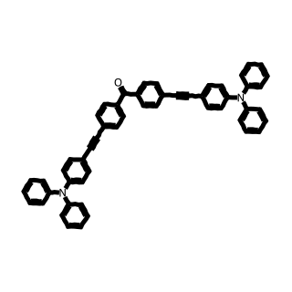 O=C(c1ccc(C#Cc2ccc(N(c3ccccc3)c3ccccc3)cc2)cc1)c1ccc(C#Cc2ccc(N(c3ccccc3)c3ccccc3)cc2)cc1